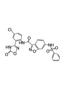 O=C(Nc1ccc(Cl)cc1-c1noc(=O)[nH]1)c1noc2cc(NS(=O)(=O)c3ccccc3)ccc12